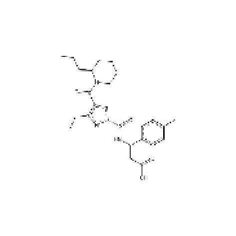 CCC[C@H]1CCCCN1C(=O)c1cc(C(=O)NC(CC(=O)O)c2ccc(C)cc2)nn1CC